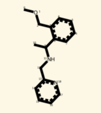 COCc1ccccc1C(C)NCc1ccccn1